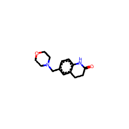 O=C1CCc2cc(CN3CCOCC3)ccc2N1